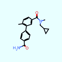 Cc1ccc(C(=O)N(C)CC2CC2)cc1-c1ccc(C(N)=O)cc1